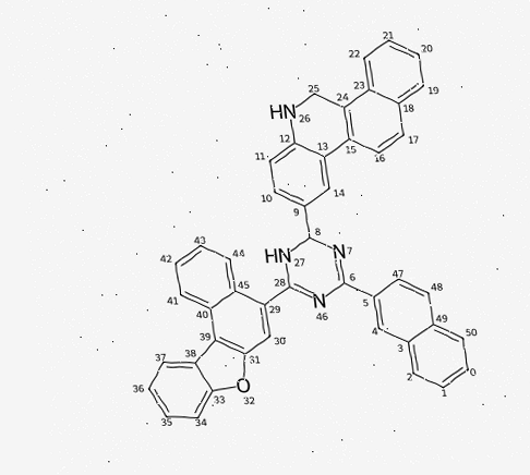 c1ccc2cc(C3=NC(c4ccc5c(c4)-c4ccc6ccccc6c4CN5)NC(c4cc5oc6ccccc6c5c5ccccc45)=N3)ccc2c1